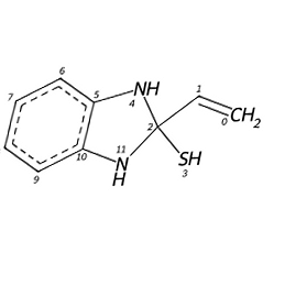 C=CC1(S)Nc2ccccc2N1